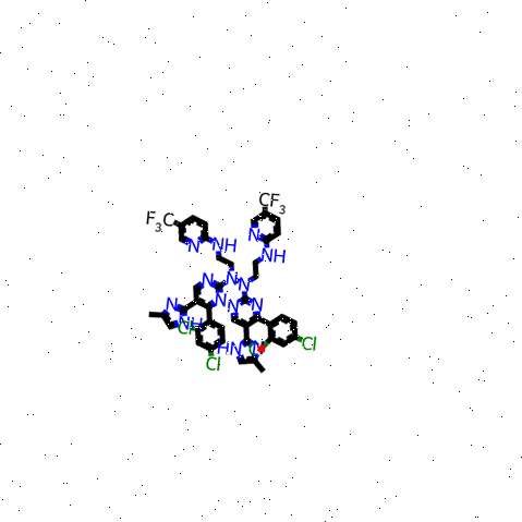 Cc1c[nH]c(-c2cnc(N(CCNc3ccc(C(F)(F)F)cn3)N(CCNc3ccc(C(F)(F)F)cn3)c3ncc(-c4nc(C)c[nH]4)c(-c4ccc(Cl)cc4Cl)n3)nc2-c2ccc(Cl)cc2Cl)n1